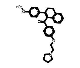 CCCOc1ccc(C2=C(C(=O)c3ccc(OCCN4CCCC4)cc3)c3ccccc3CC2)cc1